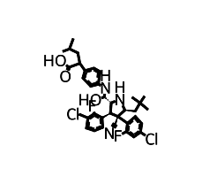 CC(C)CC(C(=O)O)c1ccc(NC(O)[C@@H]2N[C@@H](CC(C)(C)C)[C@](C#N)(c3ccc(Cl)cc3F)[C@H]2c2cccc(Cl)c2F)cc1